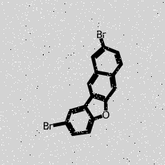 Brc1ccc2cc3oc4ccc(Br)cc4c3cc2c1